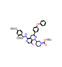 COc1ccc(CNc2ncc(I)c3c2CC(c2ccc(Oc4ccccc4)cc2)=NN3C2CCCN(C(=O)OC(C)(C)C)C2)c(OC)c1